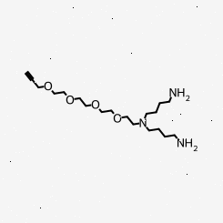 C#CCOCCOCCOCCOCCN(CCCCN)CCCCN